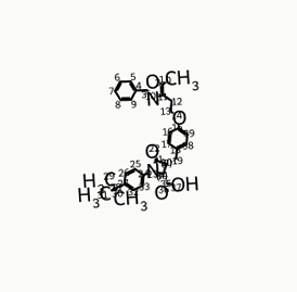 Cc1oc(-c2ccccc2)nc1CCOc1ccc(C[C@H]2C(=O)N(c3ccc(C(C)(C)C)cc3)[C@H]2C(=O)O)cc1